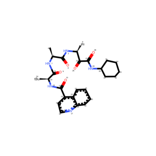 CC(C)[C@H](NC(=O)[C@H](C)NC(=O)[C@@H](NC(=O)c1ccnc2ccccc12)C(C)(C)C)C(=O)C(=O)NC1CCCCC1